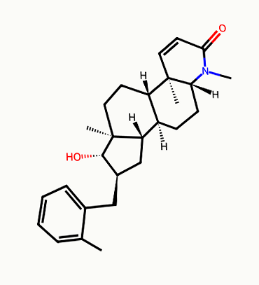 Cc1ccccc1C[C@@H]1C[C@H]2[C@@H]3CC[C@H]4N(C)C(=O)C=C[C@]4(C)[C@H]3CC[C@]2(C)[C@H]1O